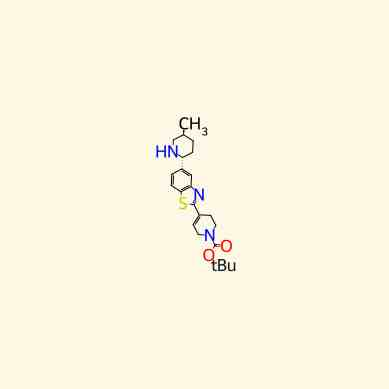 C[C@H]1CC[C@H](c2ccc3sc(C4=CCN(C(=O)OC(C)(C)C)CC4)nc3c2)NC1